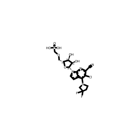 N#Cc1nc2c(ccn2[C@@H]2O[C@H](COCP(=O)(O)O)[C@@H](O)[C@H]2O)c(N2CCC(F)(F)C2)c1Cl